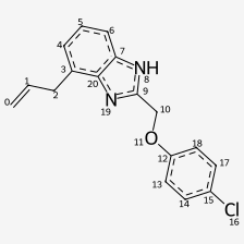 C=CCc1cccc2[nH]c(COc3ccc(Cl)cc3)nc12